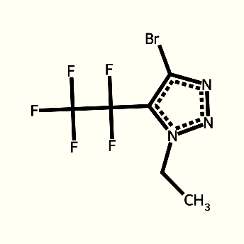 CCn1nnc(Br)c1C(F)(F)C(F)(F)F